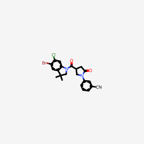 CC1(C)CN(C(=O)C2CC(=O)N(c3cccc(C#N)c3)C2)c2cc(Cl)c(Br)cc21